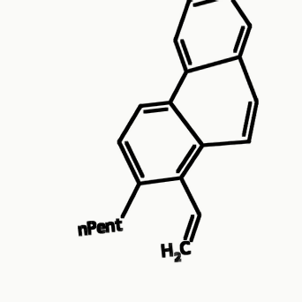 C=Cc1c(CCCCC)ccc2c1ccc1ccccc12